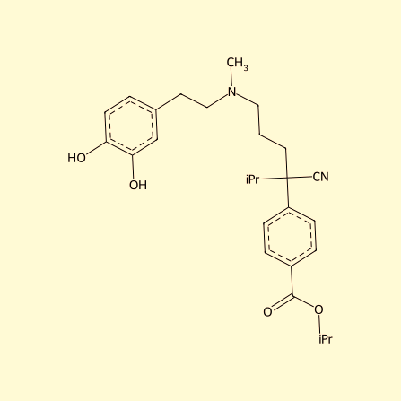 CC(C)OC(=O)c1ccc(C(C#N)(CCCN(C)CCc2ccc(O)c(O)c2)C(C)C)cc1